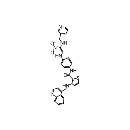 O=C(Nc1ccc(NC=C(NCc2cccnc2)[N+](=O)[O-])cc1)c1sccc1NCc1ccnc2ccccc12